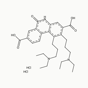 CCN(CC)CCCc1c(C(=O)O)cc2[nH]c(=O)c3cc(C(=O)O)ccc3c2c1CCCN(CC)CC.Cl.Cl